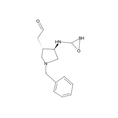 O=CC[C@H]1CN(Cc2ccccc2)C[C@@H]1NC1BO1